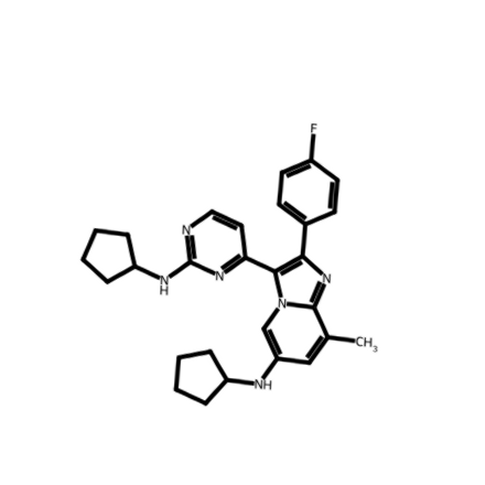 Cc1cc(NC2CCCC2)cn2c(-c3ccnc(NC4CCCC4)n3)c(-c3ccc(F)cc3)nc12